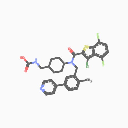 Cc1ccc(-c2ccncc2)cc1CN(C(=O)c1sc2c(F)ccc(F)c2c1Cl)C1CCC(CNC(=O)O)CC1